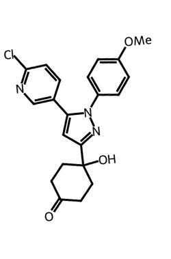 COc1ccc(-n2nc(C3(O)CCC(=O)CC3)cc2-c2ccc(Cl)nc2)cc1